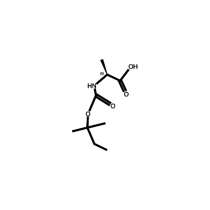 CCC(C)(C)OC(=O)N[C@@H](C)C(=O)O